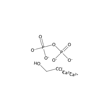 O=P([O-])([O-])OP(=O)([O-])[O-].OCC(Cl)(Cl)Cl.[Ca+2].[Ca+2]